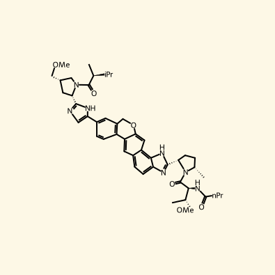 CCCC(=O)N[C@H](C(=O)N1[C@@H](C)CC[C@H]1c1nc2ccc3cc4c(cc3c2[nH]1)OCc1cc(-c2cnc([C@@H]3C[C@H](COC)CN3C(=O)[C@@H](C)C(C)C)[nH]2)ccc1-4)[C@@H](C)OC